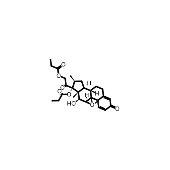 CCC(=O)OCC(=O)[C@@]1(OC(=O)CC)[C@@H](C)C[C@H]2[C@@H]3CCC4=CC(=O)C=C[C@]4(C)[C@@]34O[C@H]4[C@@H](O)[C@@]21C